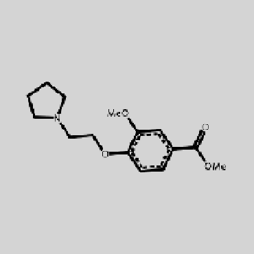 COC(=O)c1ccc(OCCN2CCCC2)c(OC)c1